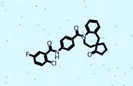 O=C(Nc1ccc(C(=O)N2CCC3(CCCC3=O)Cc3ccccc32)cc1)c1cc(F)ccc1Cl